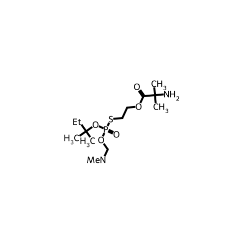 CCC(C)(C)OP(=O)(OCNC)SCCOC(=O)C(C)(C)N